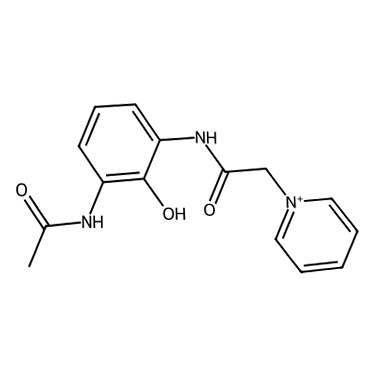 CC(=O)Nc1cccc(NC(=O)C[n+]2ccccc2)c1O